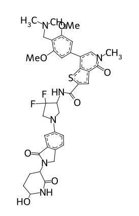 COc1cc(-c2cn(C)c(=O)c3cc(C(=O)NC4CN(c5ccc6c(c5)C(=O)N(C5CCC(O)NC5=O)C6)CC4(F)F)sc23)cc(OC)c1CN(C)C